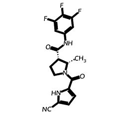 C[C@H]1[C@@H](C(=O)Nc2cc(F)c(F)c(F)c2)CCN1C(=O)c1ccc(C#N)[nH]1